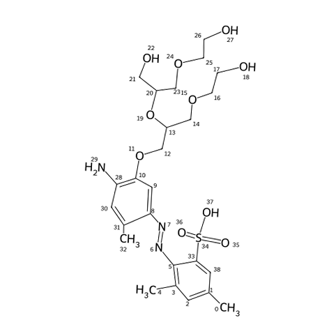 Cc1cc(C)c(/N=N/c2cc(OCC(COCCO)OC(CO)COCCO)c(N)cc2C)c(S(=O)(=O)O)c1